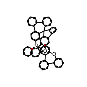 c1ccc(N(c2ccc3c(c2)-c2ccccc2-c2ccccc2O3)c2ccc3c(c2)C2(c4ccccc4-c4ccccc4-3)c3ccccc3-c3cc4oc5ccccc5c4cc32)cc1